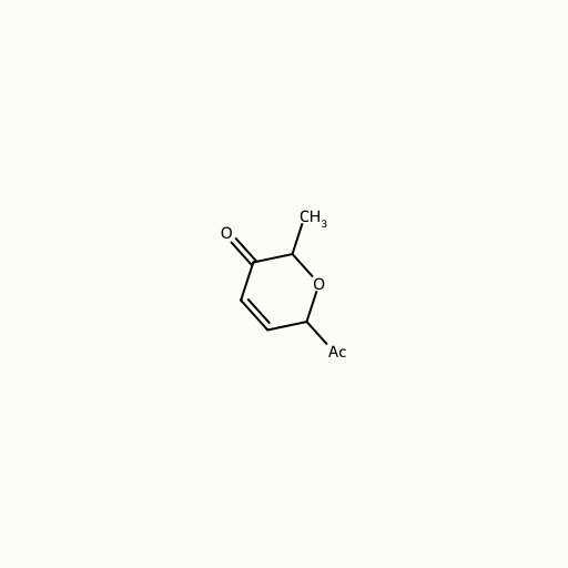 CC(=O)C1C=CC(=O)C(C)O1